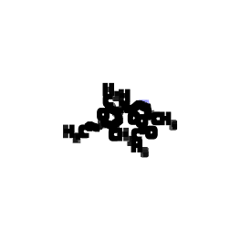 C=CC[C@@H]1O[C@H](C)[C@H](NC(=O)/C=C\[C@H](C)OC(C)=O)C[C@@H]1C